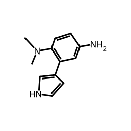 CN(C)c1ccc(N)cc1-c1cc[nH]c1